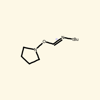 CC(C)(C)/N=C/ON1CCCC1